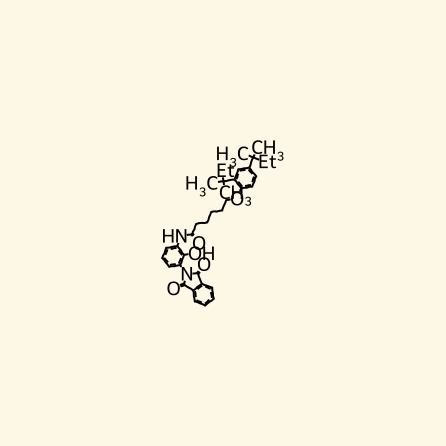 CCC(C)(C)c1ccc(OCCCCCC(=O)Nc2cccc(N3C(=O)c4ccccc4C3=O)c2O)c(C(C)(C)CC)c1